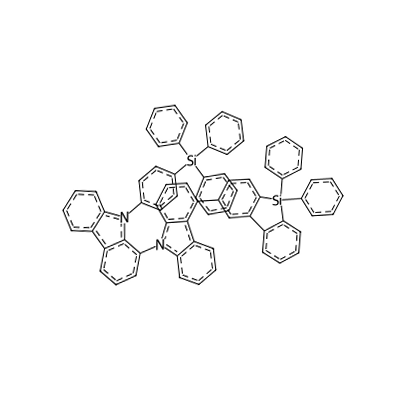 c1ccc([Si](c2ccccc2)(c2ccccc2)c2ccc(-n3c4ccccc4c4cccc(-n5c6ccccc6c6c(-c7ccc8c(c7)-c7ccccc7[Si]8(c7ccccc7)c7ccccc7)cccc65)c43)cc2)cc1